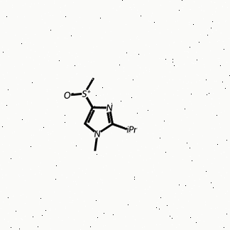 CC(C)c1nc([S+](C)[O-])cn1C